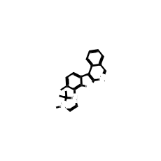 Cc1ccc2c(oc3ncc4ccccc4c32)c1[N+]1(C)C=CN(C)C1(C)C